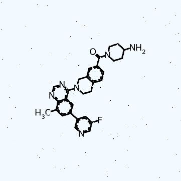 Cc1cc(-c2cncc(F)c2)cc2c(N3CCc4ccc(C(=O)N5CCC(N)CC5)cc4C3)ncnc12